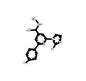 CCc1nccn1-c1cc(C(O)NC(C)(C)C)cc(-c2ccc(Cl)cc2)n1